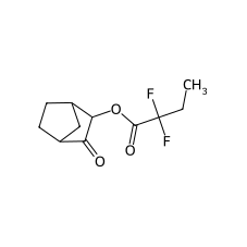 CCC(F)(F)C(=O)OC1C(=O)C2CCC1C2